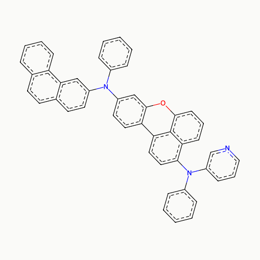 c1ccc(N(c2ccc3c(c2)Oc2cccc4c(N(c5ccccc5)c5cccnc5)ccc-3c24)c2ccc3ccc4ccccc4c3c2)cc1